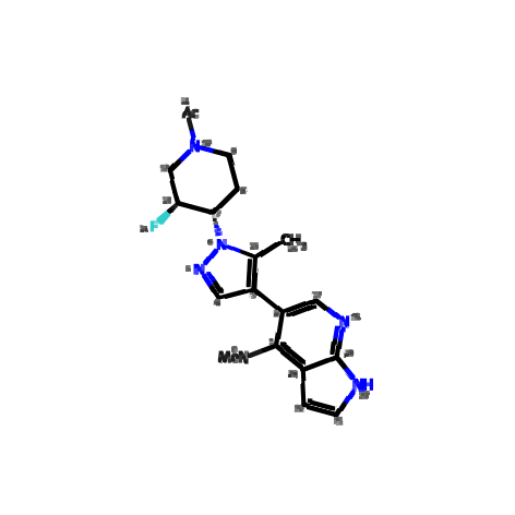 CNc1c(-c2cnn([C@H]3CCN(C(C)=O)C[C@@H]3F)c2C)cnc2[nH]ccc12